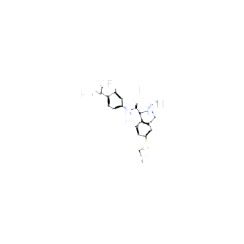 C=C(Nc1ccc(C(C(F)(F)F)C(F)(F)F)cc1)C1c2ccc(SCC(C)C)cc2CN1C